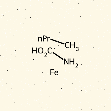 CCCC.NC(=O)O.[Fe]